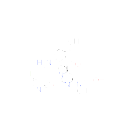 C[C@H]1CC[C@]2(Cc3nc(OC[C@@]45CCCN4C[C@H](F)C5)nc(N(C)CCO)c3CO2)c2c1ccc(N)c2C#N